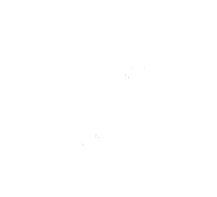 CC(C)(C)OC(=O)N1CCC(C#Cc2ccc(N)nc2)CC1